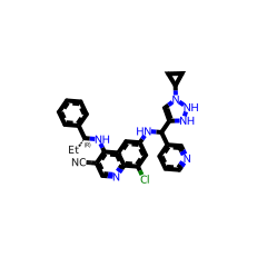 CC[C@@H](Nc1c(C#N)cnc2c(Cl)cc(NC(C3=CN(C4CC4)NN3)c3cccnc3)cc12)c1ccccc1